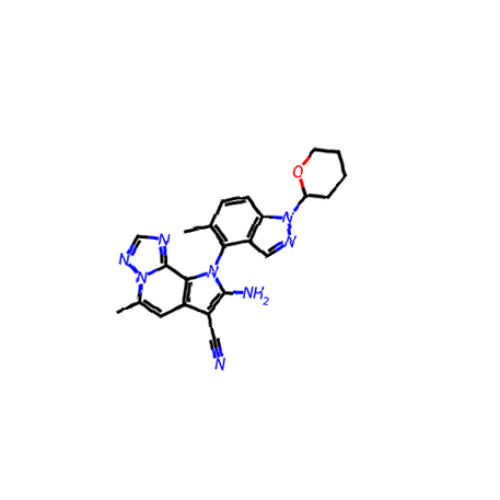 Cc1ccc2c(cnn2C2CCCCO2)c1-n1c(N)c(C#N)c2cc(C)n3ncnc3c21